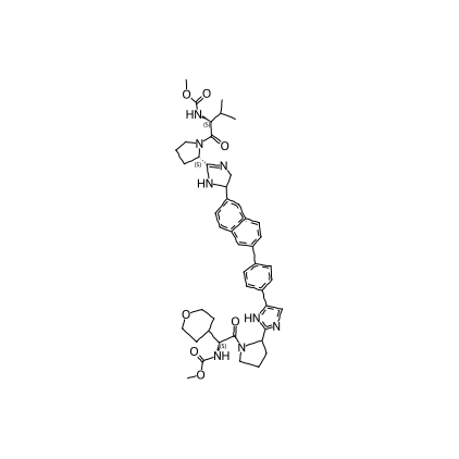 COC(=O)N[C@H](C(=O)N1CCC[C@H]1C1=NCC(c2ccc3cc(-c4ccc(-c5cnc(C6CCCN6C(=O)[C@@H](NC(=O)OC)C6CCOCC6)[nH]5)cc4)ccc3c2)N1)C(C)C